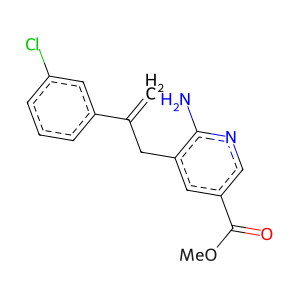 C=C(Cc1cc(C(=O)OC)cnc1N)c1cccc(Cl)c1